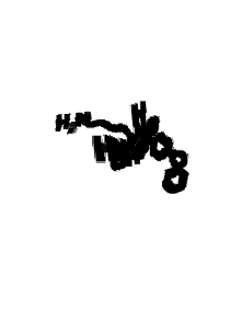 NCCCC[C@@H](NS(=O)(=O)c1ccc(Oc2ccccc2)cc1)C(=O)NO